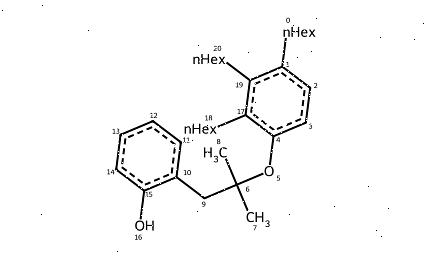 CCCCCCc1ccc(OC(C)(C)Cc2ccccc2O)c(CCCCCC)c1CCCCCC